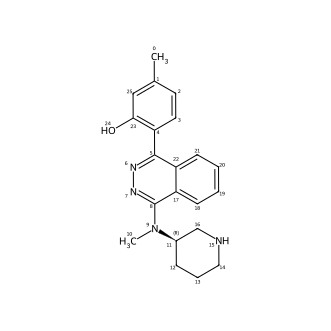 Cc1ccc(-c2nnc(N(C)[C@@H]3CCCNC3)c3ccccc23)c(O)c1